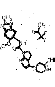 COc1cc2nn(C)nc2cc1NC(=O)N1CCc2c(N3CCN[C@H](C)C3)ccnc21.O=C(O)C(F)(F)F